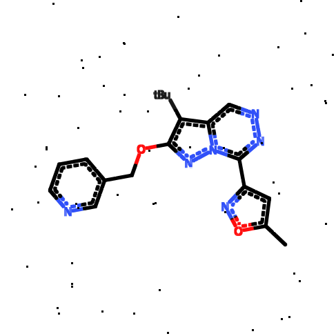 Cc1cc(-c2nncc3c(C(C)(C)C)c(OCc4cccnc4)nn23)no1